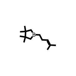 CC(C)=CCCB1CC(C)(C)C(C)(C)C1